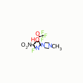 CN1CCN(c2ccc([N+](=O)[O-])c(F)n2)CC1.O=C(O)C(F)(F)F